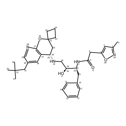 Cc1cc(CC(=O)N[C@@H](Cc2ccccc2)[C@@H](O)CN[C@H]2CC3(CCC3)Oc3ncc(CC(C)(C)C)cc32)on1